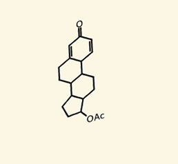 CC(=O)OC1CCC2C1CCC1C3C=CC(=O)C=C3CCC12